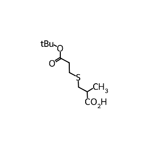 CC(CSCCC(=O)OC(C)(C)C)C(=O)O